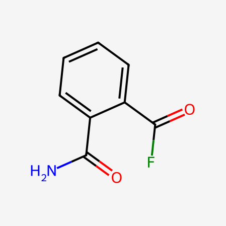 NC(=O)c1ccccc1C(=O)F